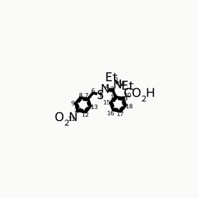 CCN(CC)/C(=N/SCc1ccc([N+](=O)[O-])cc1)c1ccccc1C(=O)O